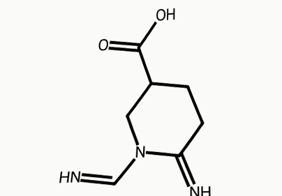 N=CN1CC(C(=O)O)CCC1=N